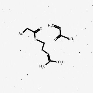 C=CC(N)=O.CC(=O)CC(=O)OCCC=C(C)C(=O)O